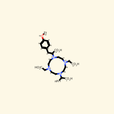 CCCC(C(=O)O)N1CCN(CC(=O)O)CCN(C(Cc2ccc(OCC)cc2)C(=O)O)CCN(CC(=O)O)CC1